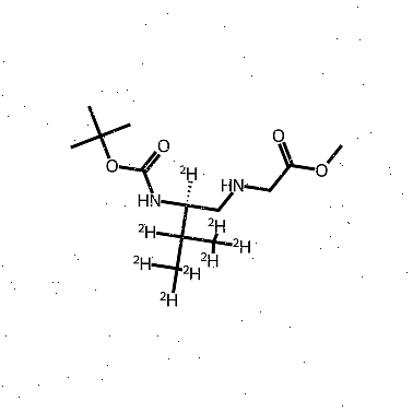 [2H]C([2H])([2H])C([2H])(C([2H])([2H])[2H])[C@]([2H])(CNCC(=O)OC)NC(=O)OC(C)(C)C